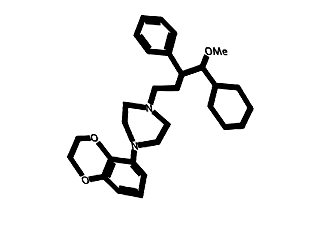 COC(C1CCCCC1)C(CCN1CCN(c2cccc3c2OCCO3)CC1)c1ccccc1